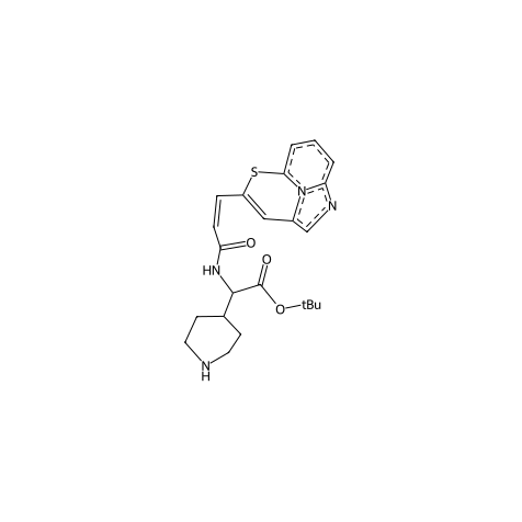 CC(C)(C)OC(=O)C(NC(=O)/C=C\C1=Cc2cnc3cccc(n23)S1)C1CCNCC1